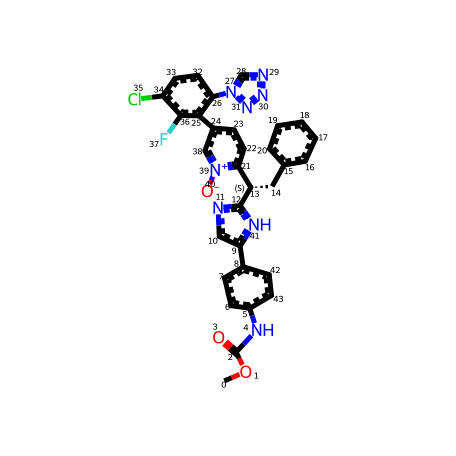 COC(=O)Nc1ccc(-c2cnc([C@@H](Cc3ccccc3)c3ccc(-c4c(-n5cnnn5)ccc(Cl)c4F)c[n+]3[O-])[nH]2)cc1